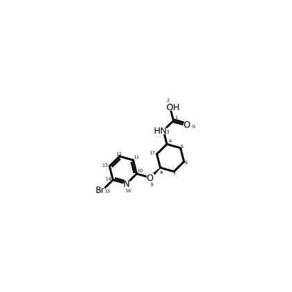 O=C(O)NC1CCC[C@@H](Oc2cccc(Br)n2)C1